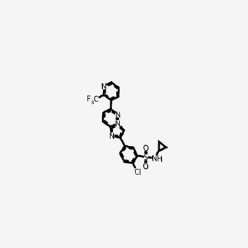 O=S(=O)(NC1CC1)c1cc(-c2cn3nc(-c4cccnc4C(F)(F)F)ccc3n2)ccc1Cl